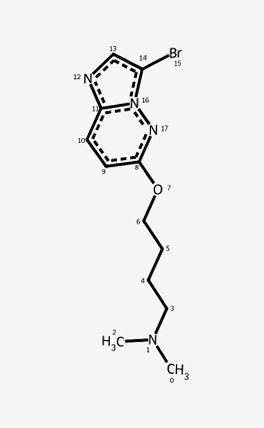 CN(C)CCCCOc1ccc2ncc(Br)n2n1